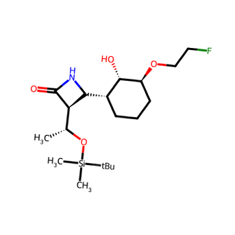 C[C@@H](O[Si](C)(C)C(C)(C)C)[C@H]1C(=O)NC1[C@H]1CCC[C@H](OCCF)[C@H]1O